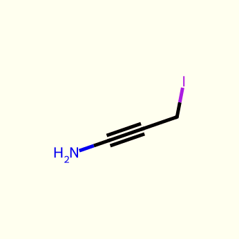 NC#CCI